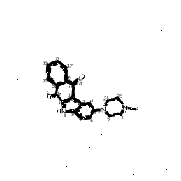 CN1CCN(c2ccc3[nH]c4c(c3c2)C(=O)c2ccccc2C4=O)CC1